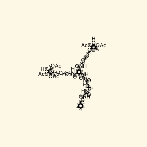 CC(=O)OC[C@H]1O[C@H](OCCOCCOCCNC(=O)c2cc(NC(=O)CNC(=O)CCC(C)(C)CNC(=O)CNC(=O)OCc3ccccc3)cc(C(=O)NCCOCCOCCO[C@H]3O[C@H](C)[C@@H](OC(C)=O)[C@H](O)[C@@H]3OC(C)=O)c2)[C@@H](OC(C)=O)[C@@H](OC(C)=O)[C@@H]1O